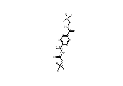 C=C(NCS(C)(C)C)c1ccc([C@H](C)NC(=O)OC(C)(C)C)cc1